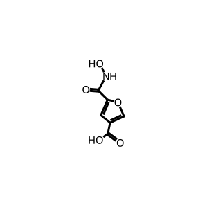 O=C(O)c1coc(C(=O)NO)c1